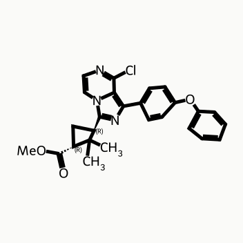 COC(=O)[C@@H]1C[C@@H](c2nc(-c3ccc(Oc4ccccc4)cc3)c3c(Cl)nccn23)C1(C)C